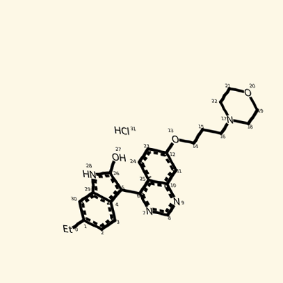 CCc1ccc2c(-c3ncnc4cc(OCCCN5CCOCC5)ccc34)c(O)[nH]c2c1.Cl